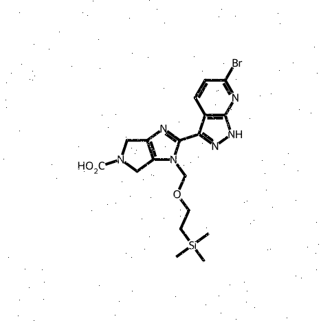 C[Si](C)(C)CCOCn1c(-c2n[nH]c3nc(Br)ccc23)nc2c1CN(C(=O)O)C2